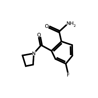 NC(=O)c1ccc(F)cc1C(=O)N1CCC1